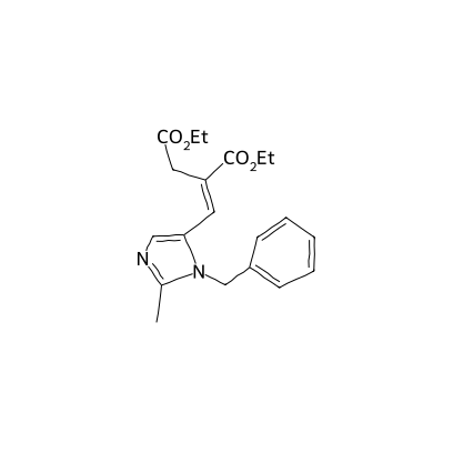 CCOC(=O)C/C(=C\c1cnc(C)n1Cc1ccccc1)C(=O)OCC